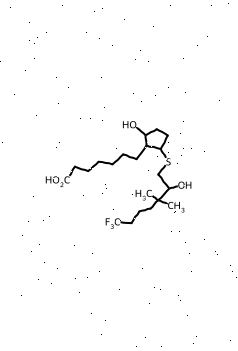 CC(C)(CCCC(F)(F)F)C(O)CSC1CCC(O)C1CCCCCCC(=O)O